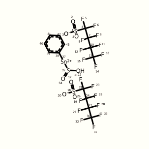 O=S(=O)([O-])C(F)(F)C(F)(F)C(F)(F)C(F)(F)F.O=S(=O)([O-])C(F)(F)C(F)(F)C(F)(F)C(F)(F)F.O=[S](O)[Sn+2][c]1ccccc1